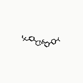 C=CC(C)(C)Cc1cccc(C2CCCN(Sc3cccc(C4=CC=C(C(C)C)CC4)c3)C2)c1